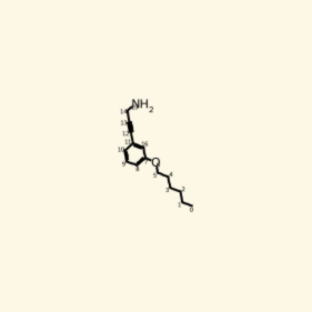 CCCCCCOc1cccc(C#CCN)c1